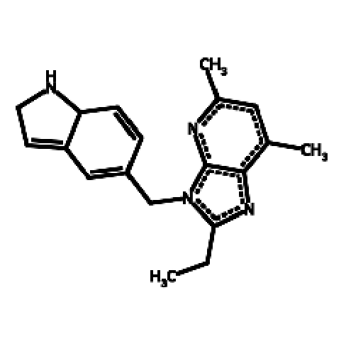 CCc1nc2c(C)cc(C)nc2n1CC1=CC2=CCNC2C=C1